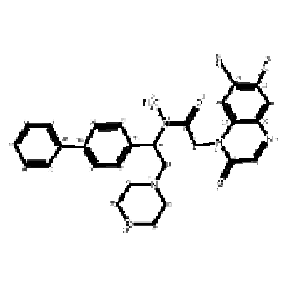 CN(C(=O)Cn1c(=O)cnc2cc(Cl)c(Cl)cc21)C(CN1CCOCC1)c1ccc(-c2ccccc2)cc1